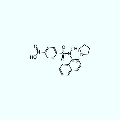 CN([C@@H]1c2ccccc2C=C[C@H]1N1CCCC1)S(=O)(=O)c1ccc([N+](=O)O)cc1